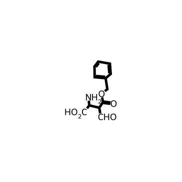 NC(C(=O)O)C(C=O)C(=O)OCc1ccccc1